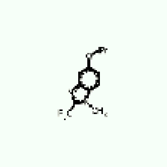 CC(C)Oc1ccc2c(c1)nc(C(F)(F)F)n2C